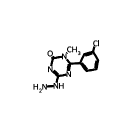 Cn1c(-c2cccc(Cl)c2)nc(NN)nc1=O